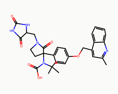 Cc1cc(COc2ccc(C3(N(C(=O)O)C(C)(C)C)CCN(CC4NC(=O)NC4=O)C3=O)cc2)c2ccccc2n1